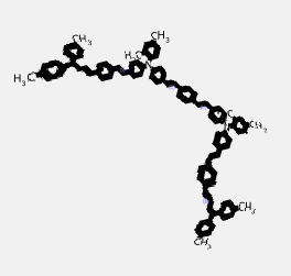 Cc1ccc(C(=CC=Cc2ccc(/C=C/c3ccc(N(c4ccc(/C=C/c5ccc(/C=C/c6ccc(N(c7ccc(C=Cc8ccc(/C=C/C=C(c9ccc(C)cc9)c9ccc(C)cc9)cc8)cc7)c7ccc(C)cc7C)cc6)cc5)cc4)c4ccc(C)cc4C)cc3)cc2)c2ccc(C)cc2)cc1